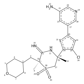 C[C@]1(CC2CCOCC2)C(=N)N[C@](C)(c2sc(-c3cncc(N)c3)cc2Cl)CS1(=O)=O